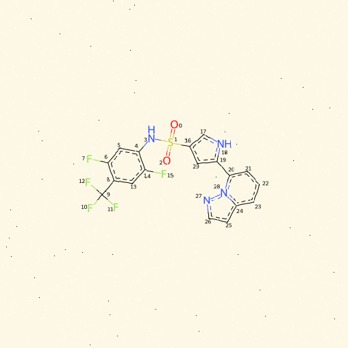 O=S(=O)(Nc1cc(F)c(C(F)(F)F)cc1F)c1c[nH]c(-c2cccc3ccnn23)c1